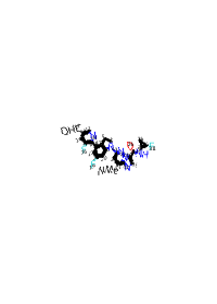 CNc1cc(N2CCc3c(-c4ncc(C=O)cc4F)cc(F)cc32)nn2c(C(=O)N[C@@H]3C[C@@H]3F)cnc12